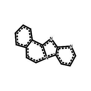 c1ccc2c(c1)ccn1c3cccnc3nc21